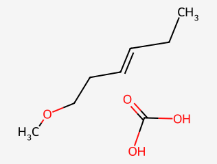 CCC=CCCOC.O=C(O)O